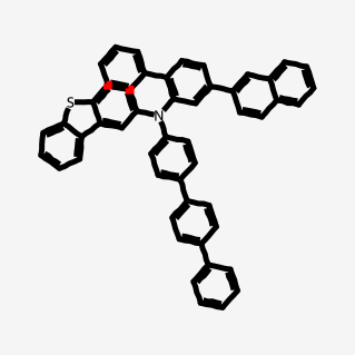 c1ccc(-c2ccc(-c3ccc(N(c4ccc5sc6ccccc6c5c4)c4cc(-c5ccc6ccccc6c5)ccc4-c4ccccc4)cc3)cc2)cc1